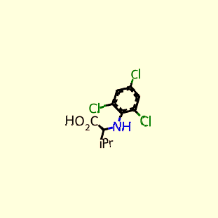 CC(C)C(Nc1c(Cl)cc(Cl)cc1Cl)C(=O)O